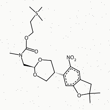 CN(C[C@H]1OC[C@H](c2cc3c(cc2[N+](=O)[O-])CC(C)(C)O3)CO1)C(=O)OCCS(C)(C)C